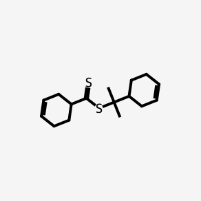 CC(C)(SC(=S)C1CC=CCC1)C1CC=CCC1